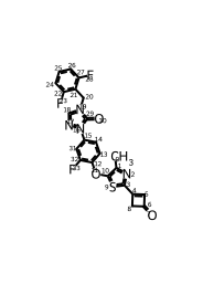 Cc1nc(C2=CC(=O)C2)sc1Oc1ccc(-n2ncn(Cc3c(F)cccc3F)c2=O)cc1F